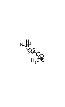 Cn1c(=O)oc2ccc(-c3cc4sc(CC(N)C#N)cc4s3)cc21